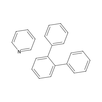 c1ccc(-c2ccccc2-c2ccccc2)cc1.c1ccncc1